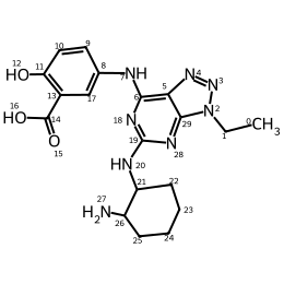 CCn1nnc2c(Nc3ccc(O)c(C(=O)O)c3)nc(NC3CCCCC3N)nc21